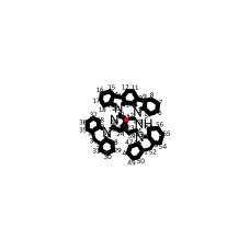 C1=CC(n2c3ccccc3c3ccc4c5ccccc5n(-c5cccc(N6c7ccccc7Cc7ccccc76)n5)c4c32)NC(N2c3ccccc3Cc3ccccc32)=C1